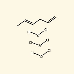 [CH]=CCC=CC.[Cl][Zr][Cl].[Cl][Zr][Cl].[Cl][Zr][Cl]